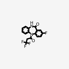 O=C1Nc2ccccc2N(C(=O)CC(F)(F)F)c2ccc(F)cc21